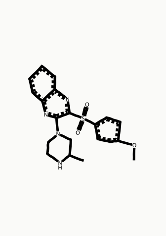 COc1ccc(S(=O)(=O)c2nc3ccccc3nc2N2CCNC(C)C2)cc1